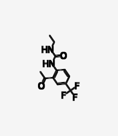 CCNC(=O)Nc1ccc(C(F)(F)F)cc1C(C)=O